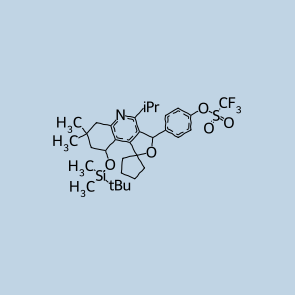 CC(C)c1nc2c(c3c1C(c1ccc(OS(=O)(=O)C(F)(F)F)cc1)OC31CCCC1)C(O[Si](C)(C)C(C)(C)C)CC(C)(C)C2